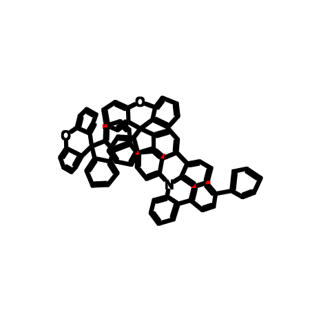 c1ccc(-c2ccc(-c3ccccc3N(c3ccc(-c4cccc5c4-c4ccccc4C54c5ccccc5Oc5ccccc54)cc3)c3ccccc3-c3ccc4c(c3)-c3ccccc3C43c4ccccc4Oc4ccccc43)cc2)cc1